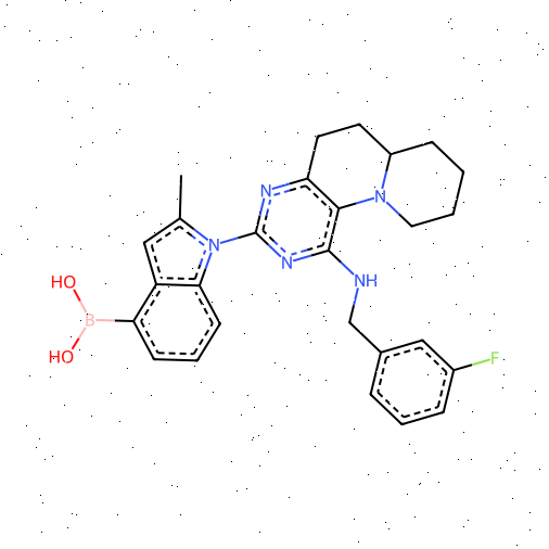 Cc1cc2c(B(O)O)cccc2n1-c1nc2c(c(NCc3cccc(F)c3)n1)N1CCCCC1CC2